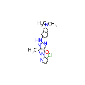 Cc1nn(-c2ncccc2Cl)c(=O)c2cnc(Nc3ccc4c(c3)CC(N(C)C)C4)nc12